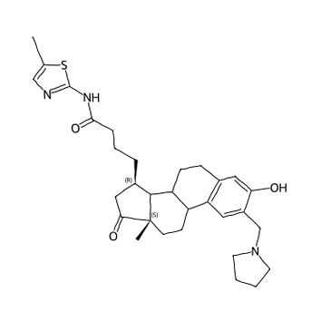 Cc1cnc(NC(=O)CCC[C@@H]2CC(=O)[C@@]3(C)CCC4c5cc(CN6CCCC6)c(O)cc5CCC4C23)s1